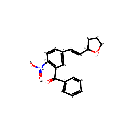 O=C(c1ccccc1)c1cc(C=CC2CCCO2)ccc1[N+](=O)[O-]